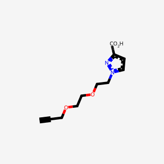 C#CCOCCOCCn1ccc(C(=O)O)n1